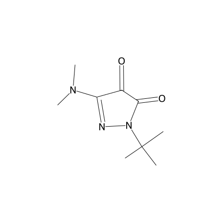 CN(C)C1=NN(C(C)(C)C)C(=O)C1=O